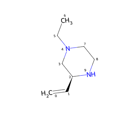 C=C[C@H]1CN(CC)CCN1